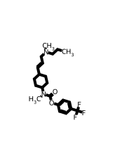 CCCN(C)C/C=C/C1CCC(N(C)C(=O)Oc2ccc(C(F)(F)F)cc2)CC1